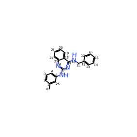 Cc1cccc(Nc2nc(NCc3ccccc3)c3ccccc3n2)c1